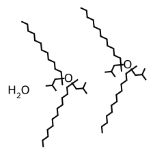 CCCCCCCCCCCCC(C)(CC(C)C)OC(C)(CCCCCCCCCCCC)CC(C)C.CCCCCCCCCCCCC(C)(CC(C)C)OC(C)(CCCCCCCCCCCC)CC(C)C.O